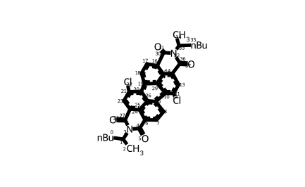 CCCCC(C)N1C(=O)c2ccc3c4c(Cl)cc5c6c(ccc(c7c(Cl)cc(c2c37)C1=O)c64)C(=O)N(C(C)CCCC)C5=O